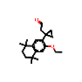 CCOc1cc2c(cc1C1(CC=O)CC1)C(C)(C)CCC2(C)C